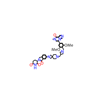 COc1cc(-c2cn(C)c(=O)c3cncn23)cc(OC)c1CN1CC(CN2CCC3(CC2)CN(c2ccc4c(c2)C(=O)N(C2CCC(=O)NC2=O)C4)C3)C1